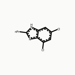 C[CH]Cc1nc2c(Cl)cc(Cl)cc2[nH]1